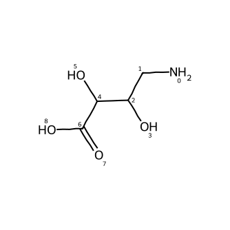 NCC(O)C(O)C(=O)O